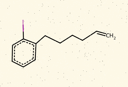 C=CCCCCc1ccccc1I